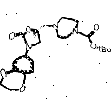 CC(C)(C)OC(=O)N1CCN(C[C@@H]2CN(c3ccc4c(c3)OCCO4)C(=O)O2)CC1